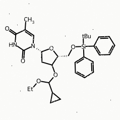 CCOC(OC1C[C@H](n2cc(C)c(=O)[nH]c2=O)O[C@@H]1CO[Si](c1ccccc1)(c1ccccc1)C(C)(C)C)C1CC1